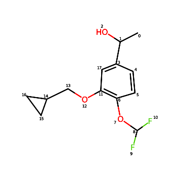 CC(O)c1ccc(OC(F)F)c(OCC2CC2)c1